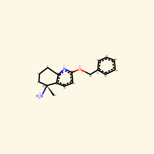 C[C@@]1(N)CCCc2nc(OCc3ccccc3)ccc21